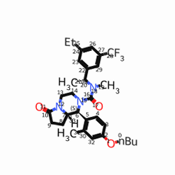 CCCCOc1ccc([C@H]2[C@@H]3CCC(=O)N3CCN2C(=O)N(C)[C@H](C)c2cc(CC)cc(C(F)(F)F)c2)c(C)c1